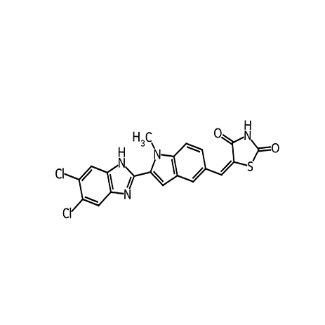 Cn1c(-c2nc3cc(Cl)c(Cl)cc3[nH]2)cc2cc(/C=C3/SC(=O)NC3=O)ccc21